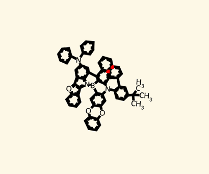 CC(C)(C)c1ccc(N2c3cc4c(cc3B3c5c2cc2ccccc2c5-c2cc(N(c5ccccc5)c5ccccc5)cc5c6oc7ccccc7c6n3c25)Oc2ccccc2O4)c(-c2ccccc2)c1